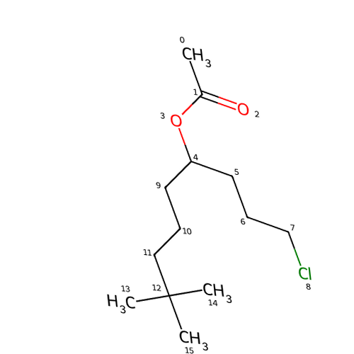 CC(=O)OC(CCCCl)CCCC(C)(C)C